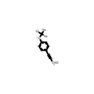 [2H]C([2H])([2H])Oc1ccc(C#CC=O)cc1